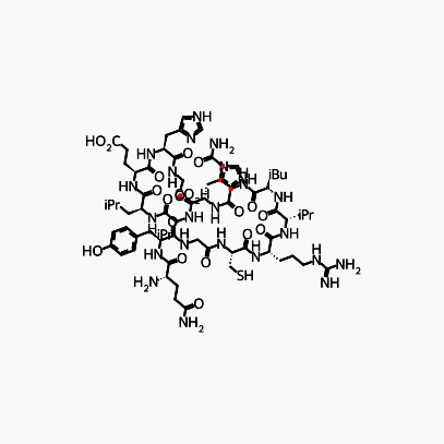 CC[C@H](C)[C@H](NC(=O)[C@@H](NC(=O)[C@H](CCCNC(=N)N)NC(=O)[C@H](CS)NC(=O)CNC(=O)[C@H](Cc1ccc(O)cc1)NC(=O)[C@@H](N)CCC(N)=O)C(C)C)C(=O)N[C@@H](CCC(N)=O)C(=O)N[C@@H](Cc1c[nH]cn1)C(=O)N[C@H](C(=O)N[C@@H](CC(C)C)C(=O)N[C@@H](CCC(=O)O)C(=O)N[C@@H](Cc1c[nH]cn1)C(=O)NCC(=O)O)C(C)C